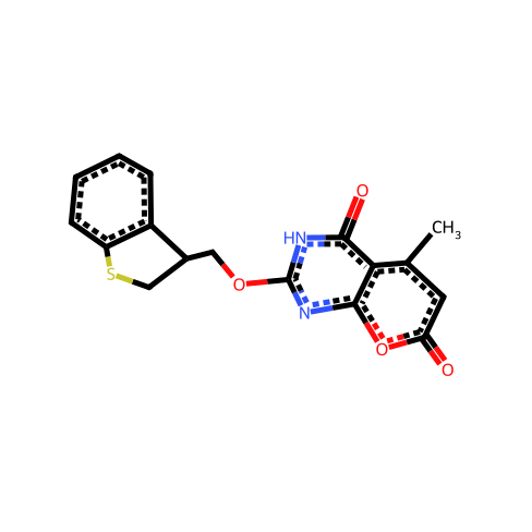 Cc1cc(=O)oc2nc(OCC3CSc4ccccc43)[nH]c(=O)c12